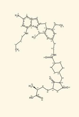 CCCCNc1nc(N)nc2cn(Cc3c(OC)cc(CCNC(=O)C4CCC(CN5C(=O)CC(SC[C@H](C)C(=O)O)C5=O)CC4)cc3OC)nc12